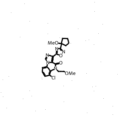 COCCn1c(=O)c2c(-c3nc(C4(OC)CCCC4)no3)ncn2c2cccc(Cl)c21